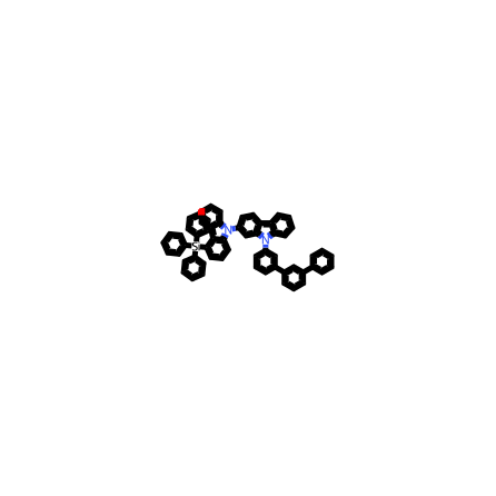 c1ccc(-c2cccc(-c3cccc(-n4c5ccccc5c5ccc(-n6c7ccccc7c7c([Si](c8ccccc8)(c8ccccc8)c8ccccc8)cccc76)cc54)c3)c2)cc1